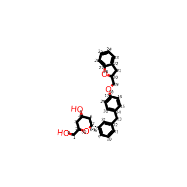 OCC1CC(O)C[C@H](c2cccc(Cc3ccc(OCC4Cc5ccccc5O4)cc3)c2)O1